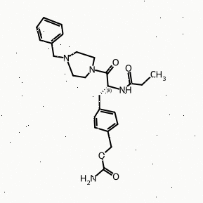 CCC(=O)N[C@H](Cc1ccc(COC(N)=O)cc1)C(=O)N1CCN(Cc2ccccc2)CC1